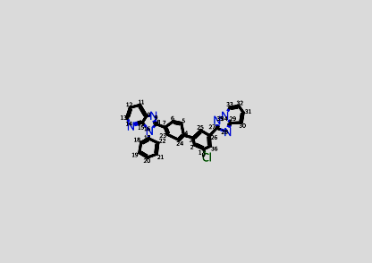 Clc1cc(-c2ccc(-c3nc4cccnc4n3-c3ccccc3)cc2)cc(-c2nc3ccccn3n2)c1